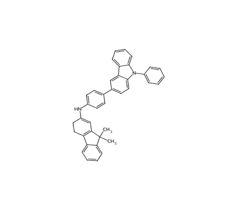 CC1(C)C2=C(CCC(Nc3ccc(-c4ccc5c(c4)c4ccccc4n5-c4ccccc4)cc3)=C2)c2ccccc21